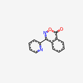 O=c1onc(-c2ccccn2)c2ccccc12